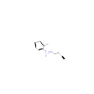 C#CCCCN(C)c1ccccc1C